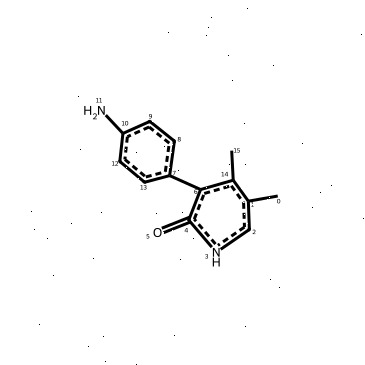 Cc1c[nH]c(=O)c(-c2ccc(N)cc2)c1C